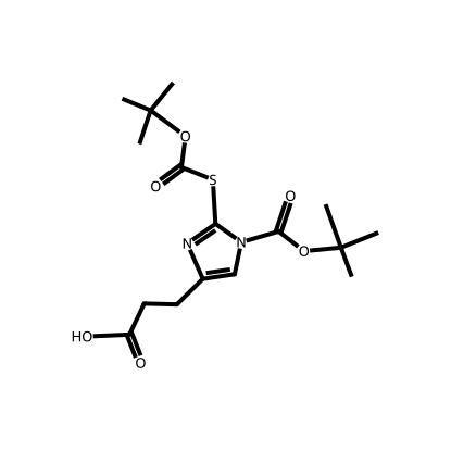 CC(C)(C)OC(=O)Sc1nc(CCC(=O)O)cn1C(=O)OC(C)(C)C